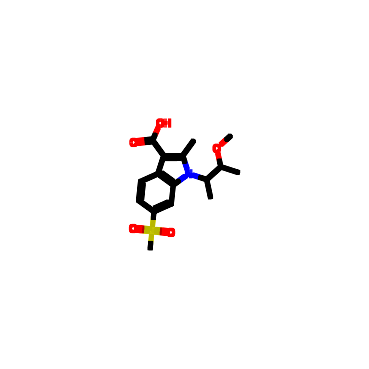 COC(C)C(C)n1c(C)c(C(=O)O)c2ccc(S(C)(=O)=O)cc21